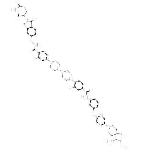 C[C@@H]1OCC2(CCN(c3cnc(Sc4cccc(NC(=O)c5ccc(N6CCC(N7CCN(c8ccc(C(=O)NCc9ccc%10c(c9)CN(C9CCC(=O)NC9=O)C%10=O)c(F)c8)CC7)CC6)c(F)c5)c4)cn3)CC2)[C@@H]1N